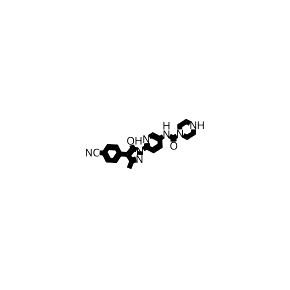 Cc1nn(-c2ccc(NC(=O)N3CCNCC3)cn2)c(O)c1-c1ccc(C#N)cc1